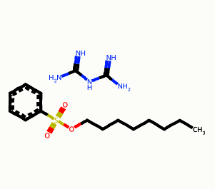 CCCCCCCCOS(=O)(=O)c1ccccc1.N=C(N)NC(=N)N